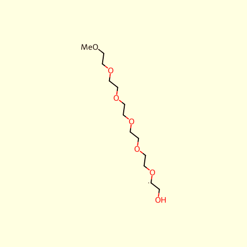 COCCOCCOCCOCCOCCO[CH]CO